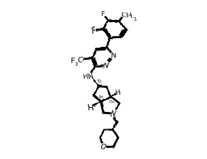 Cc1ccc(-c2cc(C(F)(F)F)c(N[C@H]3C[C@@H]4CN(CC5CCOCC5)C[C@@H]4C3)nn2)c(F)c1F